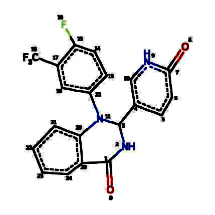 O=C1NC(c2ccc(=O)[nH]c2)N(c2ccc(F)c(C(F)(F)F)c2)c2ccccc21